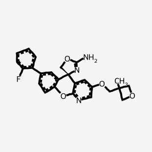 CC1(COc2cnc3c(c2)[C@]2(COC(N)=N2)c2cc(-c4ccccc4F)ccc2O3)COC1